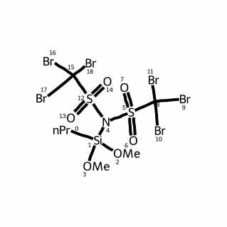 CCC[Si](OC)(OC)N(S(=O)(=O)C(Br)(Br)Br)S(=O)(=O)C(Br)(Br)Br